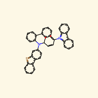 C1=CC(N(c2ccc3c(c2)sc2ccccc23)c2ccccc2-c2ccccc2)CC=C1n1c2ccccc2c2ccccc21